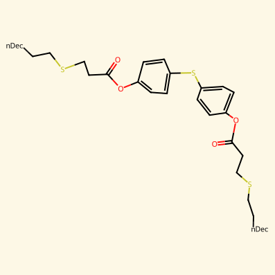 CCCCCCCCCCCCSCCC(=O)Oc1ccc(Sc2ccc(OC(=O)CCSCCCCCCCCCCCC)cc2)cc1